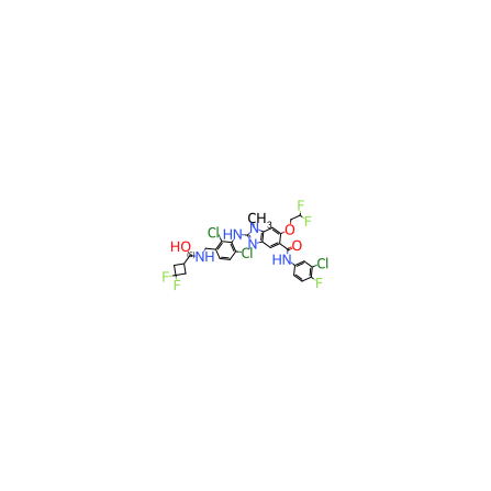 Cn1c(Nc2c(Cl)ccc(CN[C@@H](O)C3CC(F)(F)C3)c2Cl)nc2cc(C(=O)Nc3ccc(F)c(Cl)c3)c(OCC(F)F)cc21